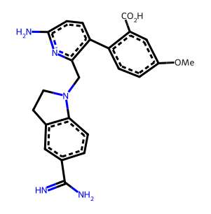 COc1ccc(-c2ccc(N)nc2CN2CCc3cc(C(=N)N)ccc32)c(C(=O)O)c1